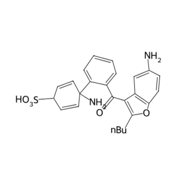 CCCCc1oc2ccc(N)cc2c1C(=O)c1ccccc1C1(N)C=CC(S(=O)(=O)O)C=C1